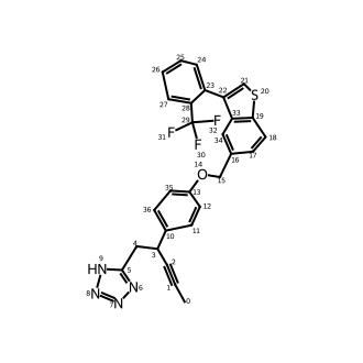 CC#CC(Cc1nnn[nH]1)c1ccc(OCc2ccc3scc(-c4ccccc4C(F)(F)F)c3c2)cc1